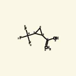 C=C(O)C1CC1C(F)(F)F